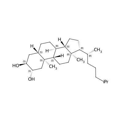 CC(C)CCC[C@@H](C)[C@H]1CC[C@H]2[C@@H]3CC[C@H]4C[C@H](O)[C@@H](O)C[C@]4(C)[C@H]3CC[C@]12C